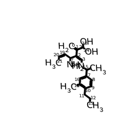 C=C(/C(=C/NC(C)c1ccc(CCC)c(C)c1)C(N)/C=C\C)C(O)O